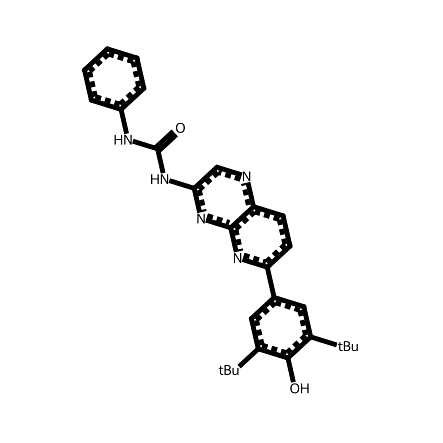 CC(C)(C)c1cc(-c2ccc3ncc(NC(=O)Nc4ccccc4)nc3n2)cc(C(C)(C)C)c1O